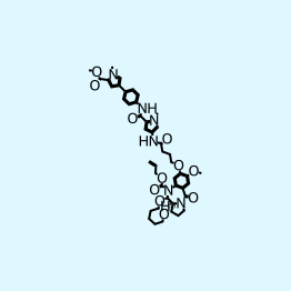 C=CCOC(=O)N1c2cc(OCCCC(=O)Nc3cc(C(=O)Nc4ccc(-c5cc(C(=O)OC)n(C)c5)cc4)n(C)c3)c(OC)cc2C(=O)N2CCC[C@H]2C1OC1CCCCO1